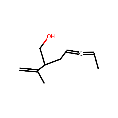 C=C(C)C(CO)CC=C=CC